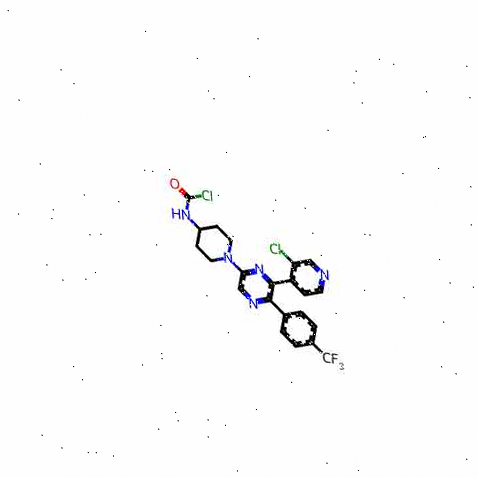 O=C(Cl)NC1CCN(c2cnc(-c3ccc(C(F)(F)F)cc3)c(-c3ccncc3Cl)n2)CC1